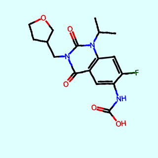 CC(C)n1c(=O)n(CC2CCOC2)c(=O)c2cc(NC(=O)O)c(F)cc21